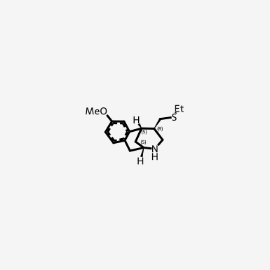 CCSC[C@H]1CN[C@@H]2Cc3ccc(OC)cc3[C@H]1C2